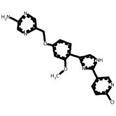 COc1cc(OCc2cnc(N)cn2)ccc1-c1c[nH]c(-c2ccc(Cl)nc2)n1